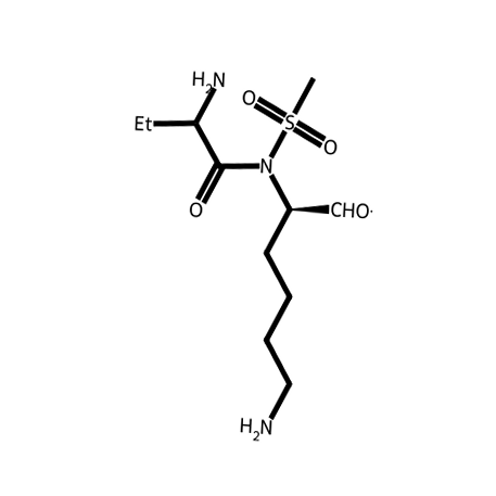 CCC(N)C(=O)N([C@@H]([C]=O)CCCCN)S(C)(=O)=O